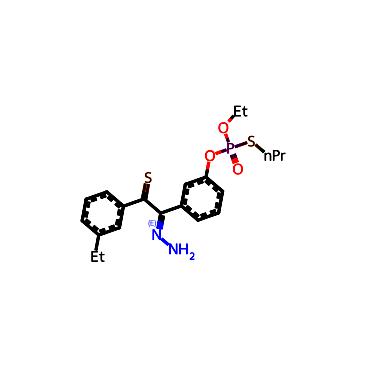 CCCSP(=O)(OCC)Oc1cccc(/C(=N\N)C(=S)c2cccc(CC)c2)c1